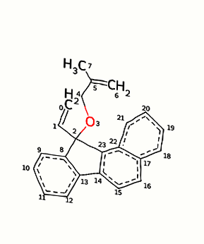 C=CC1(OCC(=C)C)c2ccccc2-c2ccc3ccccc3c21